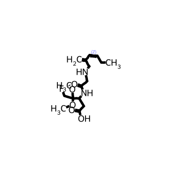 C=C(/C=C\CC)CNCC(=O)NC(CC(=O)O)C(CF)(OC)OC